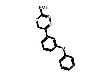 CNC1=NN=C(c2cccc(Oc3ccccc3)c2)CS1